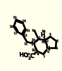 CC1[C@H]2CCCN2C[C@@H](C(=O)O)N1Cc1ccccc1